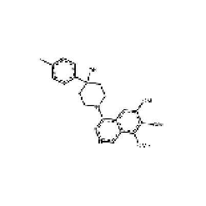 COc1cc2c(N3CCC(O)(c4ccc(C)cc4)CC3)nncc2c(OC)c1OC